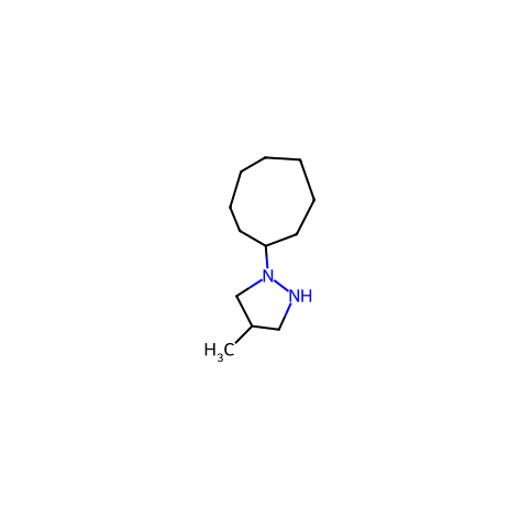 CC1CNN(C2CCCCCCC2)C1